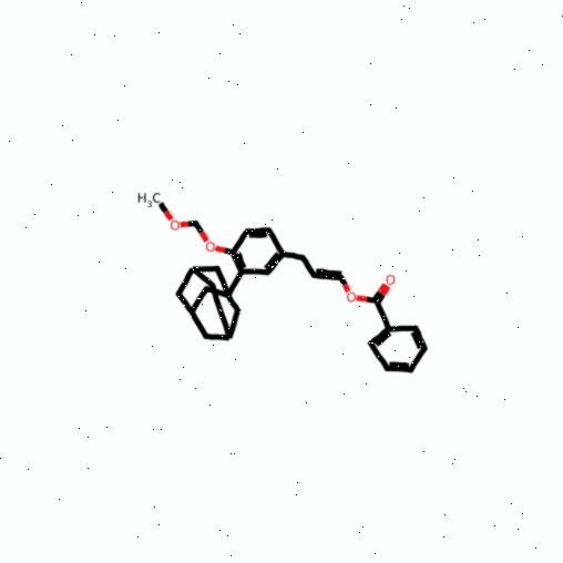 COCOc1ccc(CC=COC(=O)c2ccccc2)cc1C12CC3CC(CC(C3)C1)C2